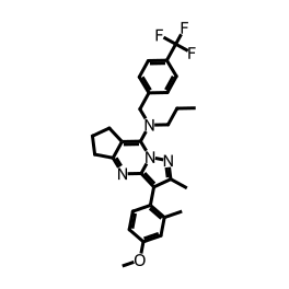 CCCN(Cc1ccc(C(F)(F)F)cc1)c1c2c(nc3c(-c4ccc(OC)cc4C)c(C)nn13)CCC2